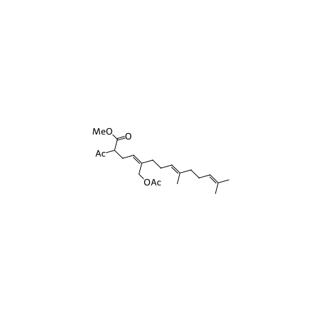 COC(=O)C(C/C=C(/CC/C=C(\C)CCC=C(C)C)COC(C)=O)C(C)=O